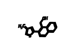 Cc1csc(-c2ccc3ccccc3c2CO)c1